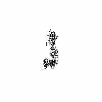 COC(=O)NC(C(=O)N1CCC[C@H]1c1ncc(-c2ccc3c(c2)COc2c-3ccc3cc(-c4cnc([C@@H]5CCCN5C(=O)C(NC(=O)O)c5ccccc5)[nH]4)ccc23)[nH]1)C(C)OC